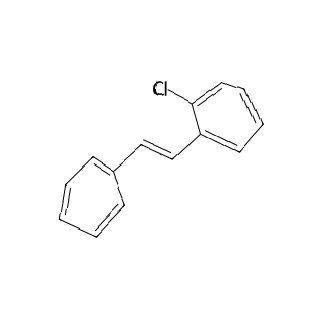 Clc1ccccc1C=Cc1ccccc1